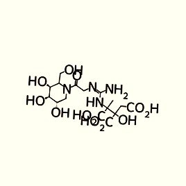 CC(NC(N)=NCC(=O)N1C[C@H](O)[C@@H](O)[C@@H](O)C1CO)(C(=O)O)C(O)(CC(=O)O)C(=O)O